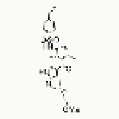 COCCOc1cnc2[nH]cc(C(=O)c3c(F)ccc(NS(=O)(=O)c4ccc(CF)cc4)c3F)c2c1